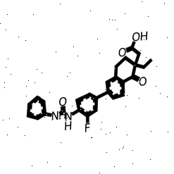 CCC1(CC(=O)O)CCc2cc(-c3ccc(NC(=O)Nc4ccccc4)c(F)c3)ccc2C1=O